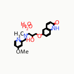 COc1ccnc(CN(C)CC(O)COc2ccc3[nH]c(=O)ccc3c2)c1.O.O